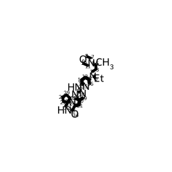 CCN(CCC(C)N1CCOCC1)c1ccc(Nc2ncc3cc4n(c3n2)C2(CCCC2)CNC4=O)nc1